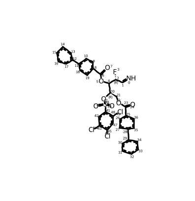 N=C[C@@H](F)C(OC(=O)c1ccc(-c2ccccc2)cc1)[C@@H](COC(=O)c1ccc(-c2ccccc2)cc1)OS(=O)(=O)c1cc(Cl)c(Cl)cc1Cl